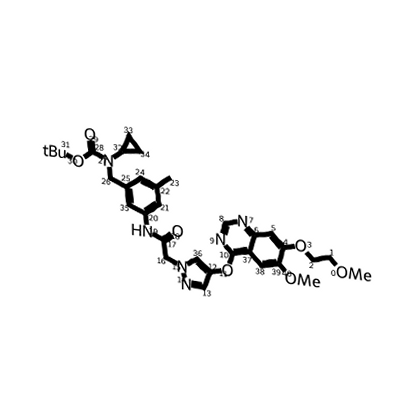 COCCOc1cc2ncnc(Oc3cnn(CC(=O)Nc4cc(C)cc(CN(C(=O)OC(C)(C)C)C5CC5)c4)c3)c2cc1OC